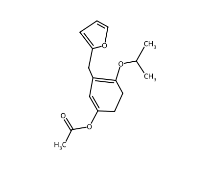 CC(=O)OC1=CC(Cc2ccco2)=C(OC(C)C)CC1